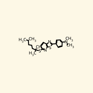 CC(C)CCCC(C)(C)Sc1ccc2nc(-c3ccc(N(C)C)cc3)sc2n1